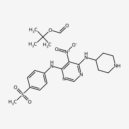 CC(C)(C)OC=O.CS(=O)(=O)c1ccc(Nc2ncnc(NC3CCNCC3)c2[N+](=O)[O-])cc1